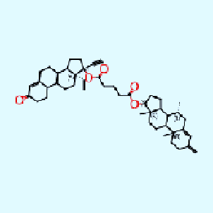 C#C[C@]1(OC(=O)CCCC(=O)O[C@H]2CCC3C4C(CC[C@@]32C)[C@@]2(C)CCC(=C)C=C2C[C@H]4C)CCC2C3CCC4=CC(=O)CCC4C3CC[C@@]21CC